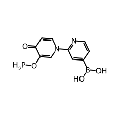 O=c1ccn(-c2cc(B(O)O)ccn2)cc1OP